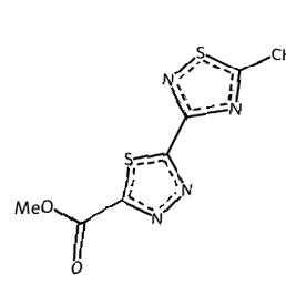 COC(=O)c1nnc(-c2nsc(C)n2)s1